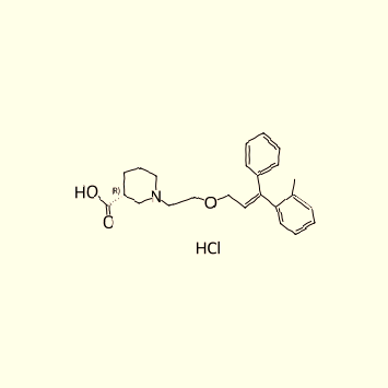 Cc1ccccc1C(=CCOCCN1CCC[C@@H](C(=O)O)C1)c1ccccc1.Cl